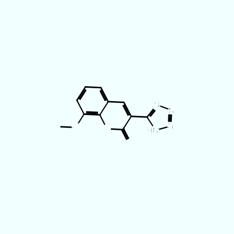 COc1cccc2cc(-c3nnn[nH]3)c(=O)oc12